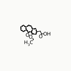 CCOc1cc(CC(=O)O)cc2ccc3ccccc3c(=O)c12